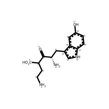 NCCC(C(=O)O)C(=O)[C@@H](N)Cc1c[nH]c2ccc(O)cc12